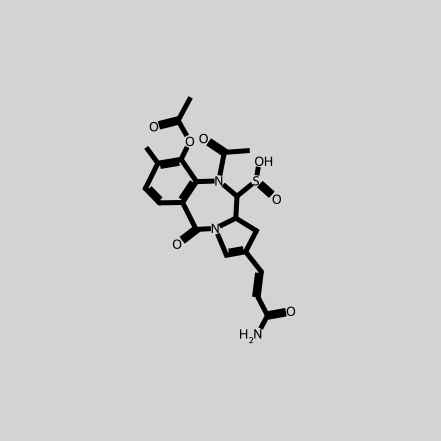 CC(=O)Oc1c(C)ccc2c1N(C(C)=O)C(S(=O)O)C1CC(C=CC(N)=O)=CN1C2=O